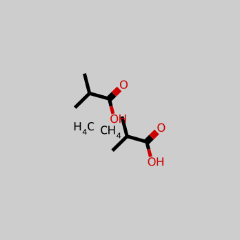 C.C.CC(C)C(=O)O.CC(C)C(=O)O